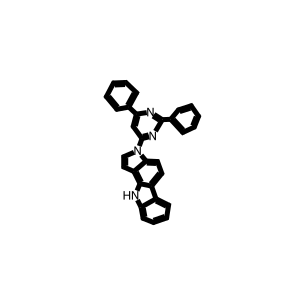 c1ccc(-c2cc(-n3ccc4c5[nH]c6ccccc6c5ccc43)nc(-c3ccccc3)n2)cc1